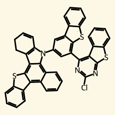 Clc1nc(-c2cc(-n3c4c(c5c6sc7ccccc7c6c6ccccc6c53)CCC=C4)cc3c2sc2ccccc23)c2c(n1)sc1ccccc12